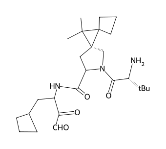 CC(C)(C)[C@@H](N)C(=O)N1C[C@]2(CC1C(=O)NC(CC1CCC1)C(=O)C=O)C(C)(C)C21CCC1